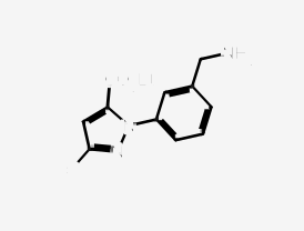 CCOC(=O)c1cc(C(F)(F)F)nn1-c1cccc(CN)c1